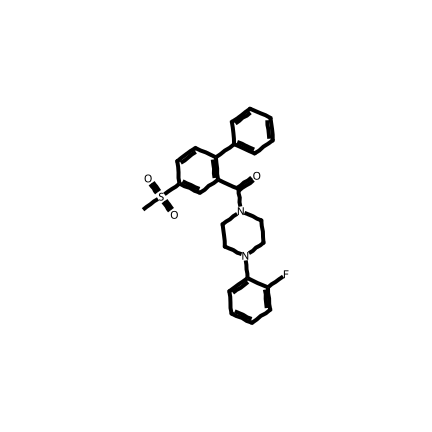 CS(=O)(=O)c1ccc(-c2ccccc2)c(C(=O)N2CCN(c3ccccc3F)CC2)c1